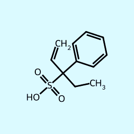 C=CC(CC)(c1ccccc1)S(=O)(=O)O